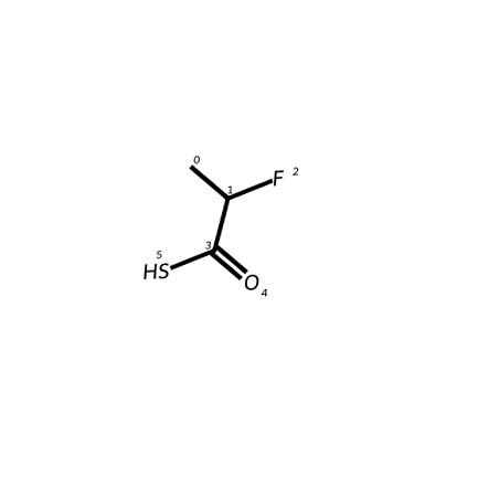 CC(F)C(=O)S